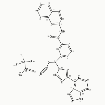 N#CCC(c1cccc(C(=O)Nc2ccc3ccccc3c2)c1)n1cc(-c2ncnc3[nH]ccc23)cn1.O=C(O)C(F)(F)F